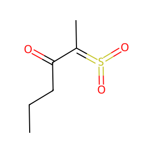 CCCC(=O)C(C)=S(=O)=O